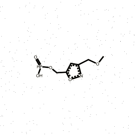 COCc1cc(CO[PH](=O)O)on1